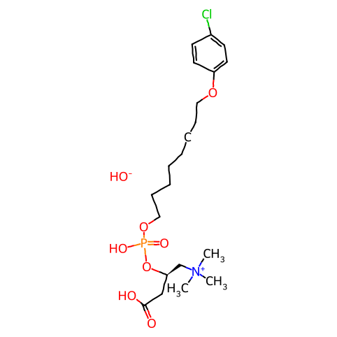 C[N+](C)(C)C[C@@H](CC(=O)O)OP(=O)(O)OCCCCCCCCOc1ccc(Cl)cc1.[OH-]